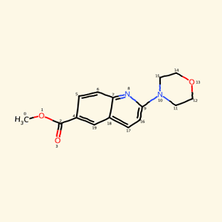 COC(=O)c1ccc2nc(N3CCOCC3)ccc2c1